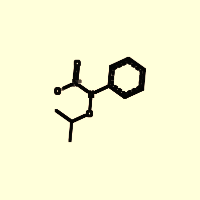 CC(C)ON(c1ccccc1)[N+](=O)[O-]